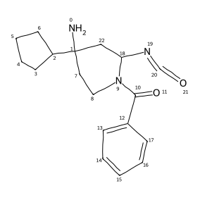 NC1(C2CCCC2)CCN(C(=O)c2ccccc2)C(N=C=O)C1